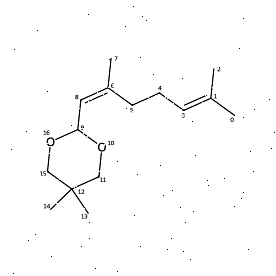 CC(C)=CCCC(C)=CC1OCC(C)(C)CO1